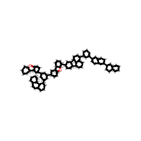 c1cc(-c2ccc3cc(-c4ccc5ccccc5c4)ccc3c2)cc(-c2ccc3c4c(cccc24)-c2ccc(-c4cccc5c4oc4ccc(-c6cc(-c7ccc8oc9ccccc9c8c7)cc(-c7cccc8ccc9ccccc9c78)c6)cc45)cc2-3)c1